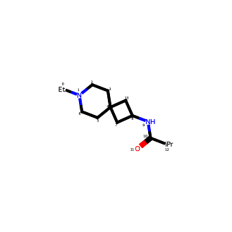 CCN1CCC2(CC1)CC(NC(=O)C(C)C)C2